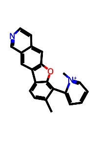 Cc1ccc2c(oc3cc4ccncc4cc32)c1-c1cccc[n+]1C